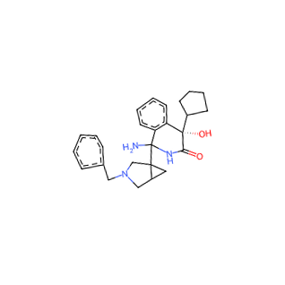 NC1(C23CC2CN(Cc2ccccc2)C3)NC(=O)[C@](O)(C2CCCC2)c2ccccc21